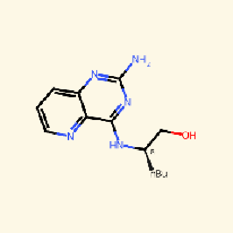 CCCC[C@H](CO)Nc1nc(N)nc2cccnc12